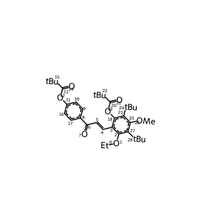 CCOc1c(C=CC(=O)c2ccc(OC(=O)C(C)(C)C)cc2)c(OC(=O)C(C)(C)C)c(C(C)(C)C)c(OC)c1C(C)(C)C